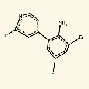 Nc1c(Br)cc(F)cc1-c1ccnc(F)c1